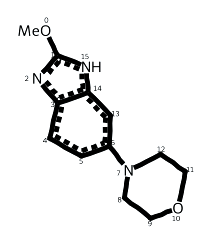 COc1nc2ccc(N3CCOCC3)cc2[nH]1